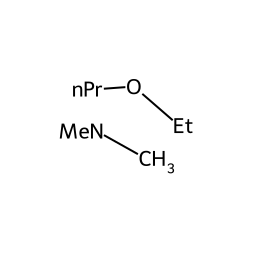 CCCOCC.CNC